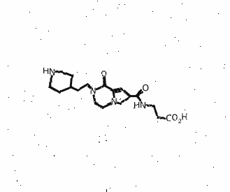 O=C(O)CCNC(=O)C1C=C2C(=O)N(CCC3CCNCC3)CCN2C1